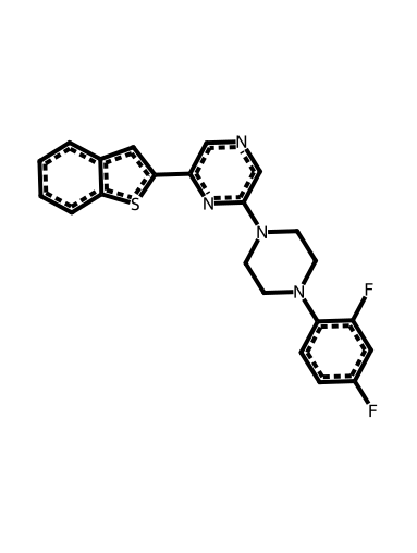 Fc1ccc(N2CCN(c3cncc(-c4cc5ccccc5s4)n3)CC2)c(F)c1